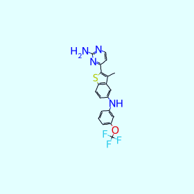 Cc1c(-c2ccnc(N)n2)sc2ccc(Nc3cccc(OC(F)(F)F)c3)cc12